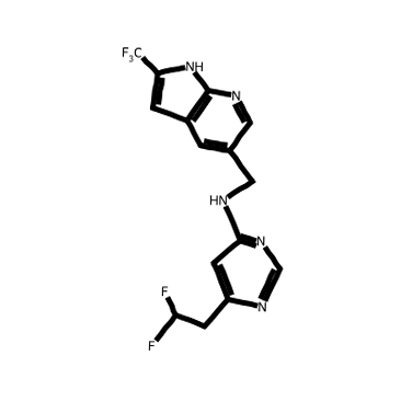 FC(F)Cc1cc(NCc2cnc3[nH]c(C(F)(F)F)cc3c2)ncn1